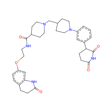 O=C1CCC(c2cccc(N3CCC(CN4CCC(C(=O)NCCOc5ccc6c(c5)NC(=O)CC6)CC4)CC3)c2)C(=O)N1